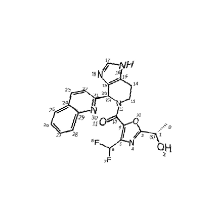 C[C@H](O)c1nc(C(F)F)c(C(=O)N2CCc3[nH]cnc3[C@@H]2c2ccc3ccccc3n2)o1